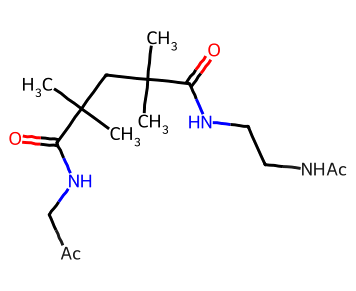 CC(=O)CNC(=O)C(C)(C)CC(C)(C)C(=O)NCCNC(C)=O